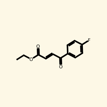 CCOC(=O)C=CC(=O)c1ccc(F)cc1